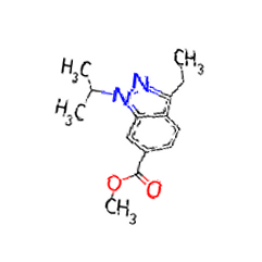 CCc1nn(C(C)C)c2cc(C(=O)OC)ccc12